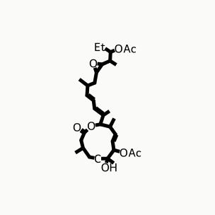 CCC(OC(C)=O)C(C)C1OC1CC(C)/C=C/C=C(\C)C1OC(=O)CC(C)CCC(C)(O)C(OC(C)=O)/C=C/C1C